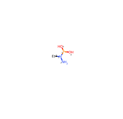 CCN(N)P(O)O